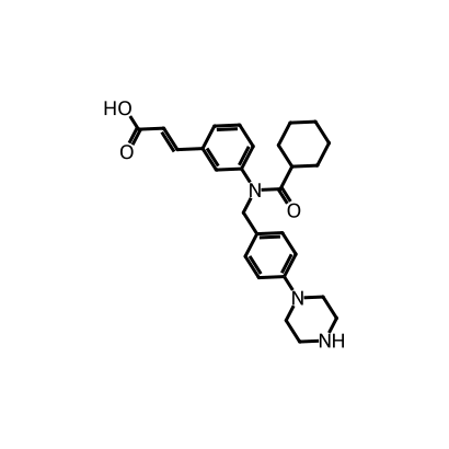 O=C(O)C=Cc1cccc(N(Cc2ccc(N3CCNCC3)cc2)C(=O)C2CCCCC2)c1